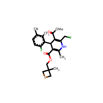 COC(=O)C1=C(CF)NC(C)=C(C(=O)OCC2(C)CSC2)C1c1c(F)ccc(C#N)c1C(F)(F)F